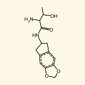 CC(O)C(N)C(=O)NC1Cc2cc3c(cc2C1)OCO3